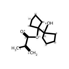 C=C(C)C(=O)OC1(C2(O)CCCC2)CCCC1